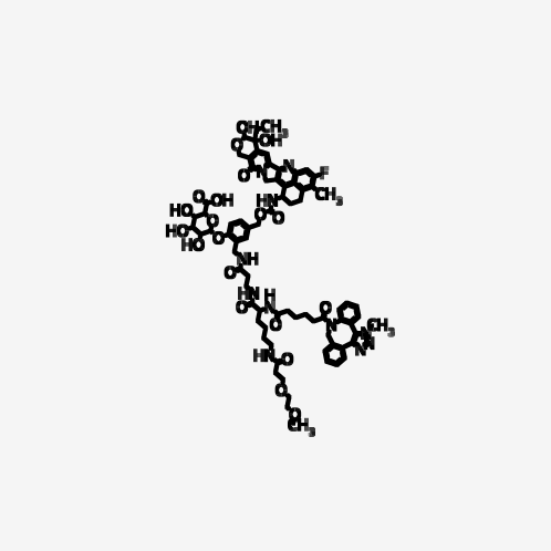 CCC1(O)c2cc3n(c(=O)c2COC1O)Cc1c-3nc2cc(F)c(C)c3c2c1C(NC(=O)OCc1ccc(OC2OC(C(=O)O)C(O)C(O)C2O)c(CNC(=O)CCNC(=O)C(CCCCNC(=O)CCOCCOC)NC(=O)CCCCC(=O)N2Cc4ccccc4-c4nnn(C)c4-c4ccccc42)c1)CC3